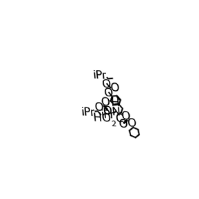 CC(C)N[C@@](Cc1ccc(OC(=O)OC(C)C(C)C)c(OC(=O)OC(C)C(C)C)c1)(OC(=O)OC1CCCCC1)C(=O)O